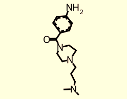 CN(C)CCCN1CCN(C(=O)c2ccc(N)cc2)CC1